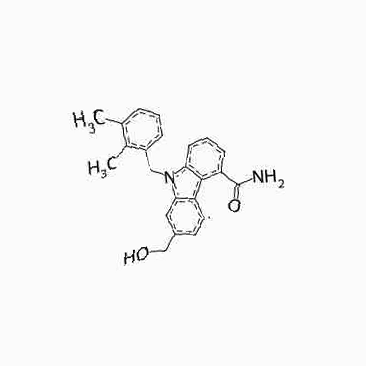 Cc1cccc(Cn2c3cc(CO)c[c]c3c3c(C(N)=O)cccc32)c1C